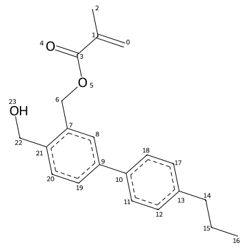 C=C(C)C(=O)OCc1cc(-c2ccc(CCC)cc2)ccc1CO